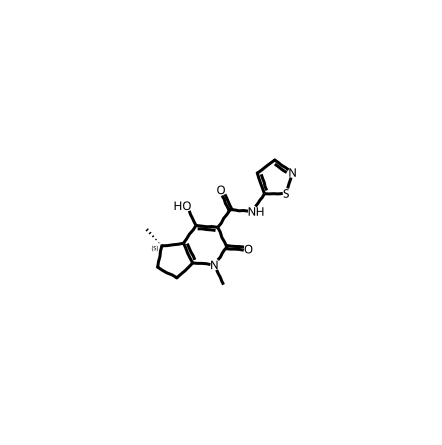 C[C@H]1CCc2c1c(O)c(C(=O)Nc1ccns1)c(=O)n2C